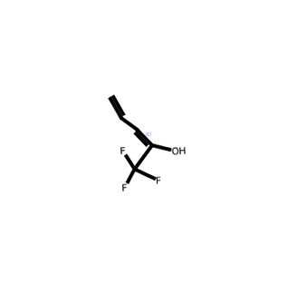 C=C/C=C(/O)C(F)(F)F